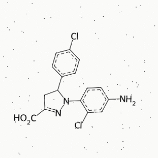 Nc1ccc(N2N=C(C(=O)O)CC2c2ccc(Cl)cc2)c(Cl)c1